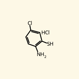 Cl.Nc1ccc(Cl)cc1S